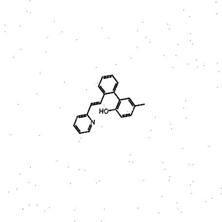 Cc1ccc(O)c(-c2ccccc2/C=C/c2ccccn2)c1